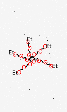 CCOCCOCCOC[C@H]1OC(OCCOCCOCC)[C@H](OCCOCCOCC)[C@@H](OCCOCCOCC)[C@H]1OCCOCCOCC